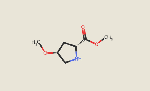 COC(=O)[C@H]1C[C@H](OC)CN1